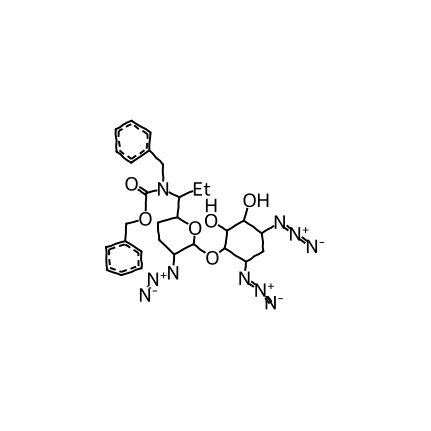 CCC(C1CCC(N=[N+]=[N-])C(OC2C(N=[N+]=[N-])CC(N=[N+]=[N-])C(O)C2O)O1)N(Cc1ccccc1)C(=O)OCc1ccccc1